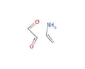 C=CN.O=CC=O